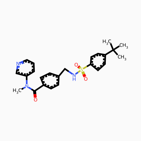 CN(C(=O)c1ccc(CNS(=O)(=O)c2ccc(C(C)(C)C)cc2)cc1)c1cccnc1